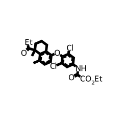 CCOC(=O)C(=O)Nc1cc(Cl)c(Oc2ccc(C)c3c2CCCC3(C)C(=O)CC)c(Cl)c1